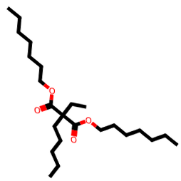 CCCCCCCOC(=O)C(CC)(CCCCC)C(=O)OCCCCCCC